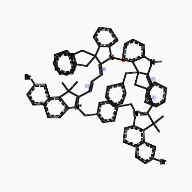 CN1/C(=C/C=C/C2=[N+](Cc3ccc(C[N+]4=C(/C=C/C=C5/N(C)c6ccccc6C5(Cc5ccccc5)Cc5ccccc5)C(C)(C)c5c4ccc4ccc(Br)cc54)cc3)c3ccc4ccc(Br)cc4c3C2(C)C)C(Cc2ccccc2)(Cc2ccccc2)c2ccccc21